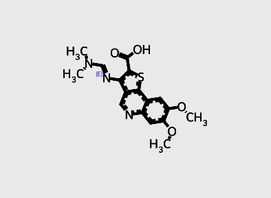 COc1cc2ncc3c(/N=C/N(C)C)c(C(=O)O)sc3c2cc1OC